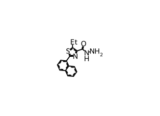 CCc1sc(-c2cccc3ccccc23)nc1C(=O)NN